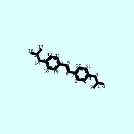 CC(C)Cc1ccc(C=Cc2ccc(CC(C)C)cc2)cc1